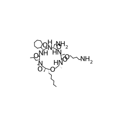 CCCCCC[C@H]1OC[C@@H](C)NC(=O)[C@H](COCCCCN)NC(=O)[C@H](CN)NC(=O)[C@H](C2CCCCCC2)NC(=O)[C@H](CCC)N(C)C(=O)[C@@H]1C